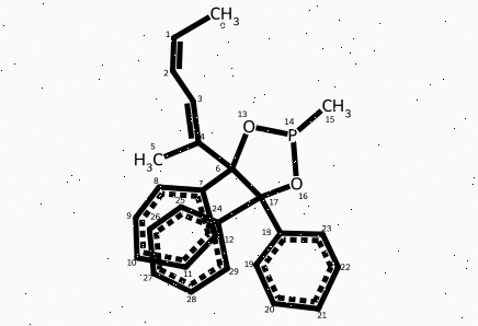 C/C=C\C=C(/C)C1(c2ccccc2)OP(C)OC1(c1ccccc1)c1ccccc1